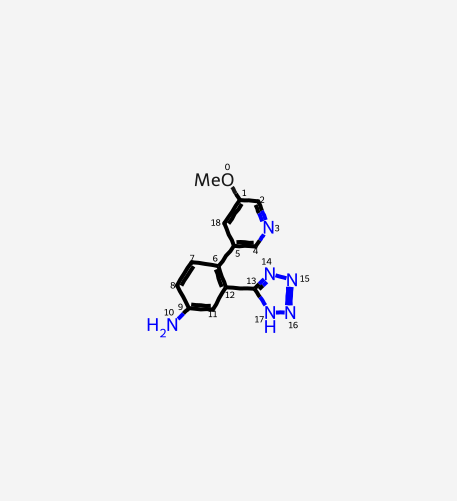 COc1cncc(-c2ccc(N)cc2-c2nnn[nH]2)c1